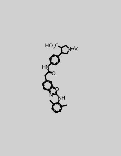 CC(=O)N1CC(C(=O)O)C(c2ccc(NC(=O)Cc3ccc4nc(Nc5c(C)cccc5C)oc4c3)cc2)C1